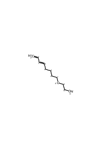 C=CC=CCCCCOCCO